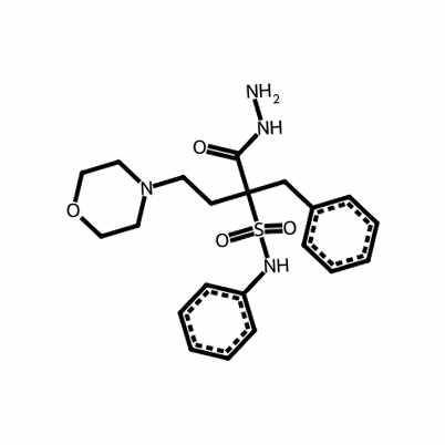 NNC(=O)C(CCN1CCOCC1)(Cc1ccccc1)S(=O)(=O)Nc1ccccc1